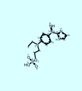 CCN(CCOS(=O)(=O)O)c1ccc([N+](=N)c2nccs2)cc1